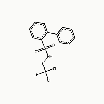 O=S(=O)(NSC(Cl)(Cl)Cl)c1ccccc1-c1ccccc1